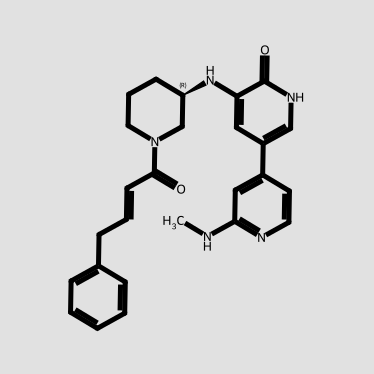 CNc1cc(-c2c[nH]c(=O)c(N[C@@H]3CCCN(C(=O)C=CCc4ccccc4)C3)c2)ccn1